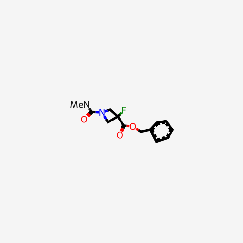 CNC(=O)N1CC(F)(C(=O)OCc2ccccc2)C1